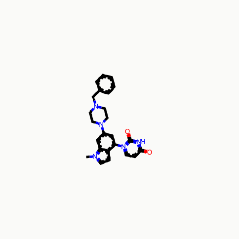 Cn1ccc2c(-n3ccc(=O)[nH]c3=O)cc(N3CCN(Cc4ccccc4)CC3)cc21